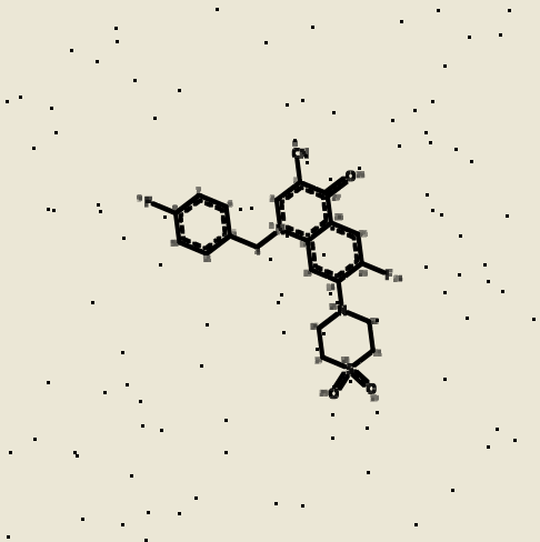 N#Cc1cn(Cc2ccc(F)cc2)c2cc(N3CCS(=O)(=O)CC3)c(F)cc2c1=O